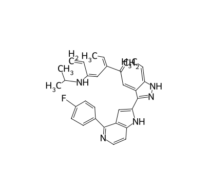 C=C/C(=C\C(=C/C)C(=C)/C=c1/c(-c2cc3c(-c4ccc(F)cc4)nccc3[nH]2)n[nH]/c1=C/C)NC(C)C